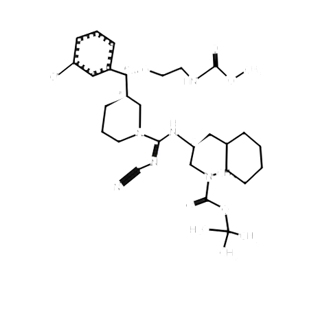 COC(=O)NCCO[C@@H](c1cccc(Cl)c1)[C@@H]1CCCN(/C(=N\C#N)N[C@@H](CC2CCCCC2)CN(C)C(=O)OC(C)(C)C)C1